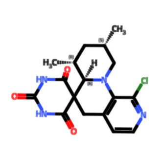 C[C@H]1C[C@@H](C)[C@H]2N(C1)c1c(ccnc1Cl)CC21C(=O)NC(=O)NC1=O